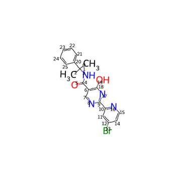 CC(C)(NC(=O)c1cnc(-c2cc(Br)ccn2)nc1O)c1ccccc1